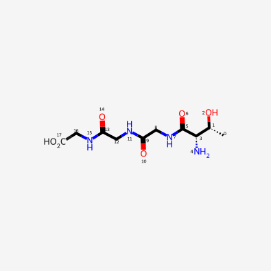 C[C@@H](O)[C@H](N)C(=O)NCC(=O)NCC(=O)NCC(=O)O